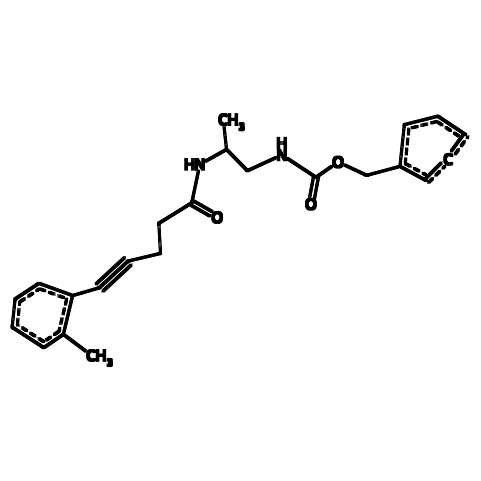 Cc1ccccc1C#CCCC(=O)NC(C)CNC(=O)OCc1ccccc1